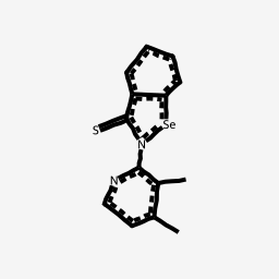 Cc1ccnc(-n2[se]c3ccccc3c2=S)c1C